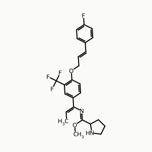 C/C=C(\N=C(/OC)C1CCCN1)c1ccc(OC/C=C/c2ccc(F)cc2)c(C(F)(F)F)c1